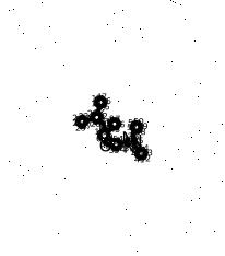 C1=CC2C(c3ccccc3N2c2cc(-c3ccccc3)cc(-c3ccccc3)c2)c2c1oc1ccc(-c3nc(-c4ccccc4)nc(-c4ccccc4)n3)cc21